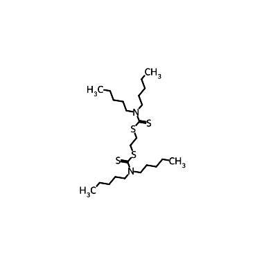 CCCCCN(CCCCC)C(=S)SCCSC(=S)N(CCCCC)CCCCC